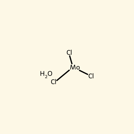 O.[Cl][Mo]([Cl])[Cl]